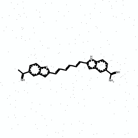 CC(=N)c1ccc2sc(/C=C/C=C/C=C/c3cc4cc(C(=N)N)ccc4[nH]3)cc2c1